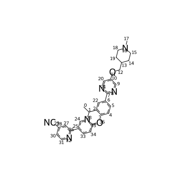 CC(c1cccc(-c2ncc(OCC3CCN(C)CC3)cn2)c1)n1cc(-c2cc(C#N)ccn2)ccc1=O